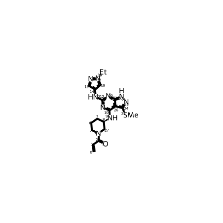 C=CC(=O)N1CCC[C@@H](Nc2nc(Nc3cnn(CC)c3)nc3[nH]nc(SC)c23)C1